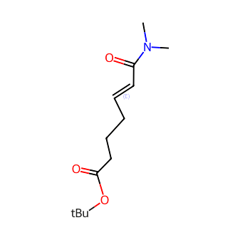 CN(C)C(=O)/C=C/CCCC(=O)OC(C)(C)C